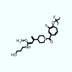 C=C(/C=C(/NCCCO)ON)C1CCN(C(=O)C2=CC(F)=C(OC(F)(F)F)CC=C2)CC1